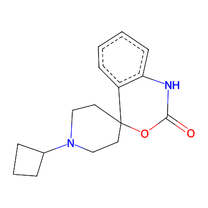 O=C1Nc2ccccc2C2(CCN(C3CCC3)CC2)O1